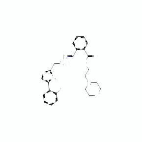 O=C(OCCN1CCOCC1)c1ccccc1/C=N/NCc1nc(-c2ccccc2Cl)cs1